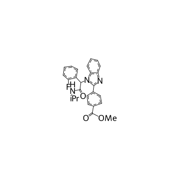 COC(=O)c1ccc(-c2nc3ccccc3n2C(C(=O)NC(C)C)c2ccccc2F)cc1